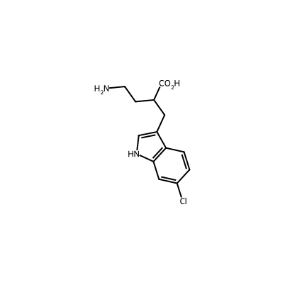 NCCC(Cc1c[nH]c2cc(Cl)ccc12)C(=O)O